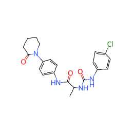 CC(NC(=O)Nc1ccc(Cl)cc1)C(=O)Nc1ccc(N2CCCCC2=O)cc1